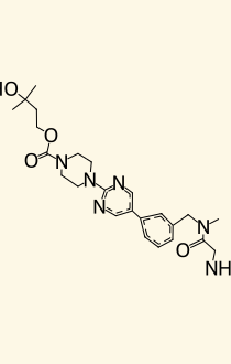 CN(Cc1cccc(-c2cnc(N3CCN(C(=O)OCCC(C)(C)O)CC3)nc2)c1)C(=O)CN